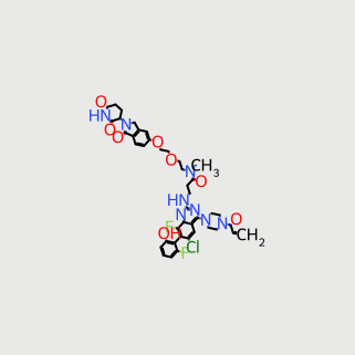 C=CC(=O)N1CCN(c2nc(NCCC(=O)N(C)CCOCCOc3ccc4c(c3)CN(C3CCC(=O)NC3=O)C4=O)nc3c(F)c(-c4c(O)cccc4F)c(Cl)cc23)CC1